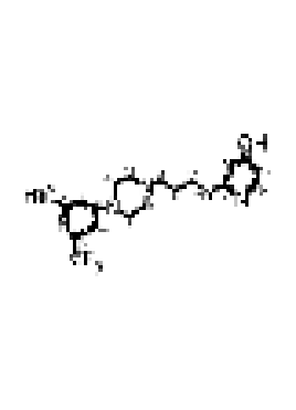 CC(C)(C)c1cc(N2CCN(CCCSc3nccc(O)n3)CC2)cc(C(F)(F)F)n1